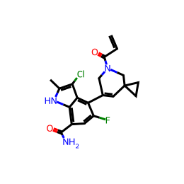 C=CC(=O)N1CC(c2c(F)cc(C(N)=O)c3[nH]c(C)c(Cl)c23)=CC2(CC2)C1